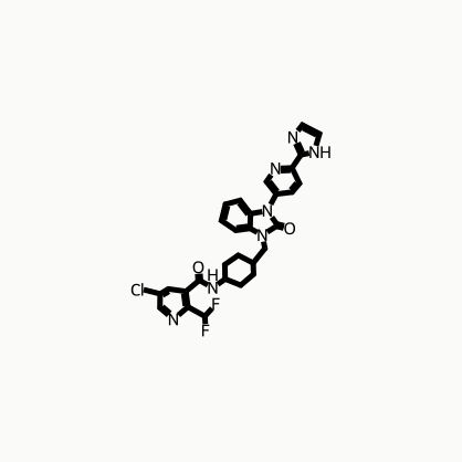 O=C(NC1CCC(Cn2c(=O)n(-c3ccc(-c4ncc[nH]4)nc3)c3ccccc32)CC1)c1cc(Cl)cnc1C(F)F